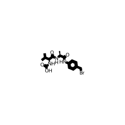 CC(C)[C@H](NC(=O)O)C(=O)N[C@@H](C)C(=O)Nc1ccc(CBr)cc1